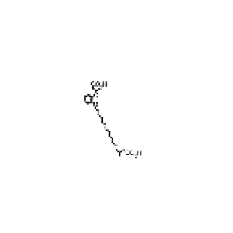 CC(CCCCCCCCCCCCCOc1ccccc1OC(C)CC(=O)O)CC(=O)O